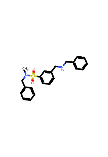 CN(Cc1ccccc1)S(=O)(=O)c1cccc(CNCc2ccccc2)c1